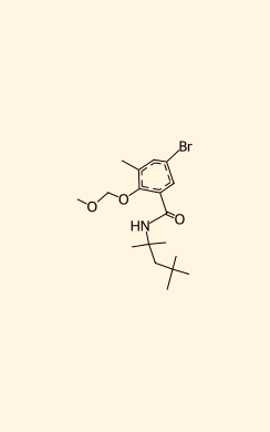 COCOc1c(C)cc(Br)cc1C(=O)NC(C)(C)CC(C)(C)C